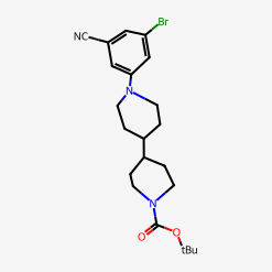 CC(C)(C)OC(=O)N1CCC(C2CCN(c3cc(Br)cc(C#N)c3)CC2)CC1